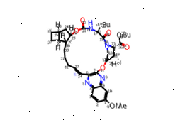 COc1ccc2nc3c(nc2c1)O[C@H]1CN(C(=O)[C@H](C(C)(C)C)NC(=O)O[C@@H]2C[C@@H]4CC[C@@H]4[C@H]2CCC/C=C/3)[C@H](C(=O)OCC(C)C)[C@@H]1C